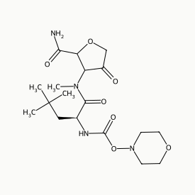 CN(C(=O)[C@H](CC(C)(C)C)NC(=O)ON1CCOCC1)C1C(=O)COC1C(N)=O